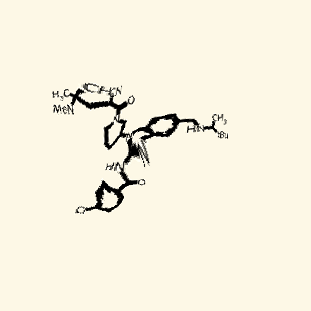 CNC(C)(C)C=C(C#N)C(=O)N1CCCC(n2c(NC(=O)c3ccc(Cl)cc3)nc3cc(CNC(C)C(C)(C)C)ccc32)C1